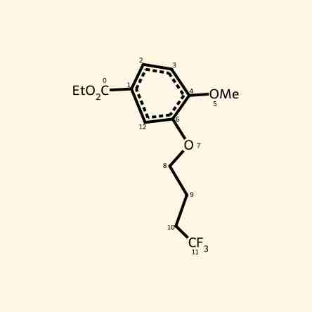 CCOC(=O)c1ccc(OC)c(OCCCC(F)(F)F)c1